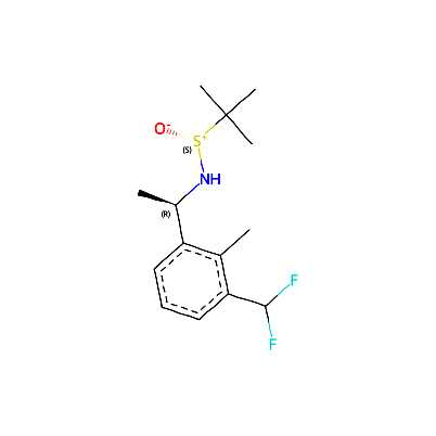 Cc1c(C(F)F)cccc1[C@@H](C)N[S@+]([O-])C(C)(C)C